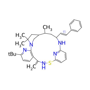 C=C1NSc2cccc(n2)NC(/C=C/c2ccccc2)CC(C)C2CN(c3nc(C(C)(C)C)ccc31)C(C)(C)C2